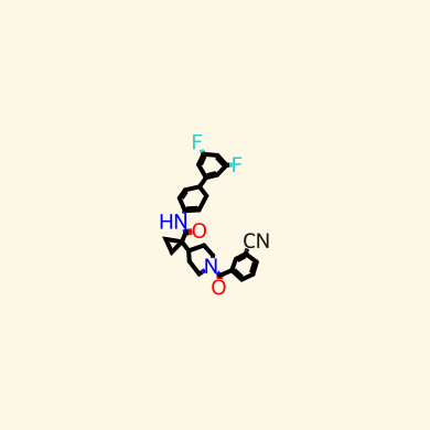 N#Cc1cccc(C(=O)N2CCC(C3(C(=O)NC4=CCC(c5cc(F)cc(F)c5)C=C4)CC3)CC2)c1